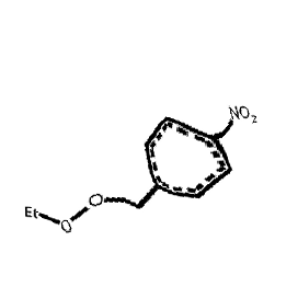 CCOOCc1ccc([N+](=O)[O-])cc1